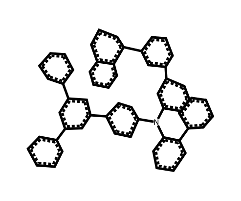 c1ccc(-c2cc(-c3ccccc3)cc(-c3ccc(N(c4cccc(-c5cccc(-c6cccc7ccccc67)c5)c4)c4ccccc4-c4ccccc4)cc3)c2)cc1